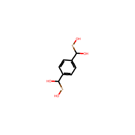 OSC(O)c1ccc(C(O)SO)cc1